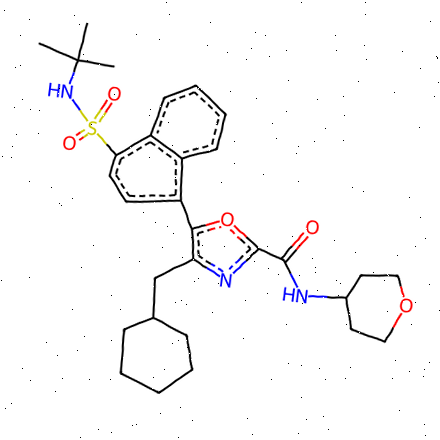 CC(C)(C)NS(=O)(=O)c1ccc(-c2oc(C(=O)NC3CCOCC3)nc2CC2CCCCC2)c2ccccc12